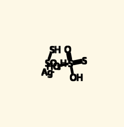 O=S(=O)(O)S.O=S(O)(O)=S.[Ag]